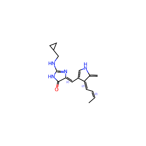 C=c1[nH]cc(/C=C2\N=C(NCC3CC3)NC2=O)/c1=C/C=C\C